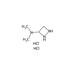 CN(C)C1CNN1.Cl.Cl